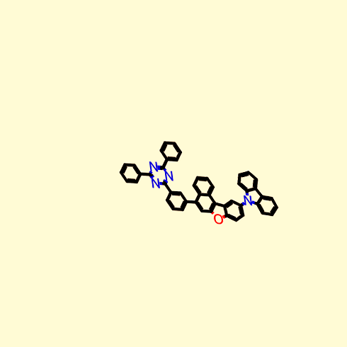 c1ccc(-c2nc(-c3ccccc3)nc(-c3cccc(-c4cc5oc6ccc(-n7c8ccccc8c8ccccc87)cc6c5c5ccccc45)c3)n2)cc1